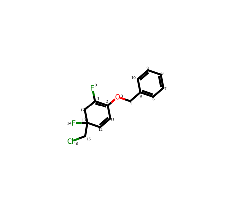 FC1=C(OCc2ccccc2)C=CC(F)(CCl)C1